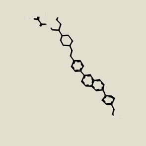 C=C(C)C(=O)OCC(CCO)C1CCC(CCc2ccc(-c3ccc4cc(-c5ccc(CCC)cc5)ccc4c3)cc2)CC1